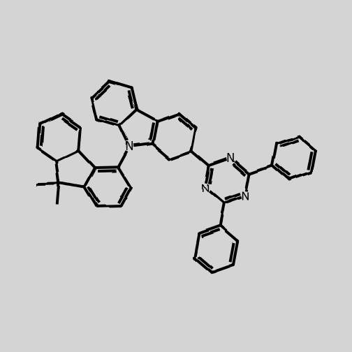 CC1(C)c2cccc(-n3c4c(c5ccccc53)C=CC(c3nc(-c5ccccc5)nc(-c5ccccc5)n3)C4)c2C2C=CC=CC21